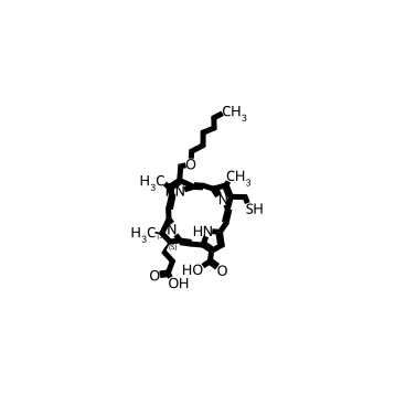 CCCCCCOCc1c(C)c2cc3nc(cc4[nH]c(cc5nc(cc1[nH]2)C(C)=C5CS)cc4C(=O)O)[C@@H](CCC(=O)O)[C@@H]3C